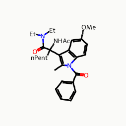 CCCCCC(NC(C)=O)(C(=O)N(CC)CC)c1c(C)n(C(=O)c2ccccc2)c2ccc(OC)cc12